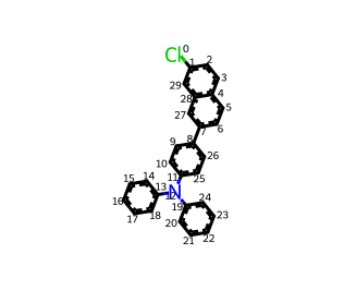 Clc1ccc2ccc(-c3ccc(N(c4ccccc4)c4ccccc4)cc3)cc2c1